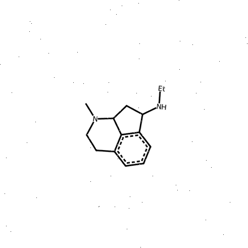 CCNC1CC2c3c(cccc31)CCN2C